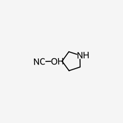 C1CCNC1.N#CO